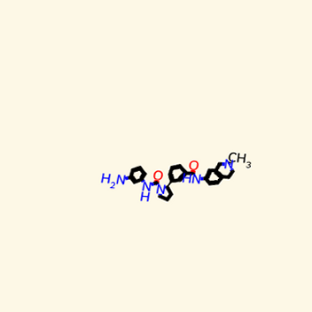 CN1CCc2ccc(NC(=O)c3cccc([C@H]4CCCN4C(=O)Nc4cccc(N)c4)c3)cc2C1